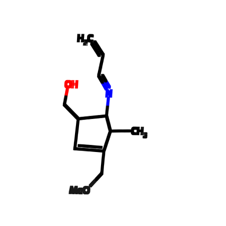 C=C/C=N/C1C(CO)C=C(COC)C1C